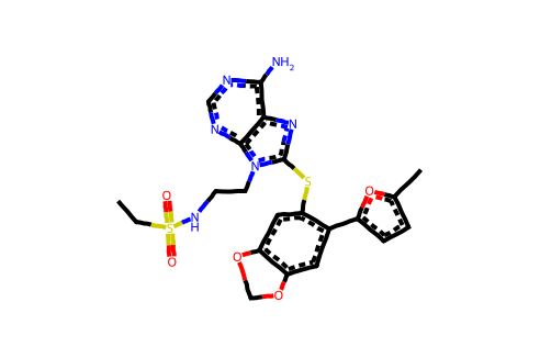 CCS(=O)(=O)NCCn1c(Sc2cc3c(cc2-c2ccc(C)o2)OCO3)nc2c(N)ncnc21